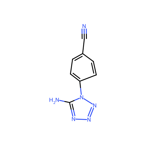 N#Cc1ccc(-n2nnnc2N)cc1